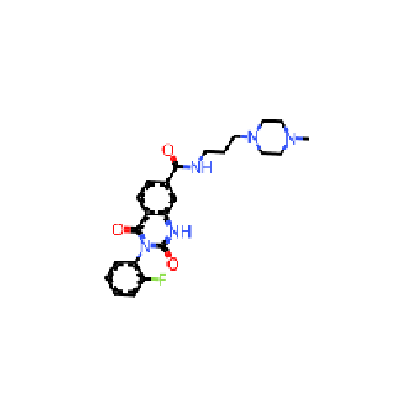 CN1CCN(CCCNC(=O)c2ccc3c(=O)n(-c4ccccc4F)c(=O)[nH]c3c2)CC1